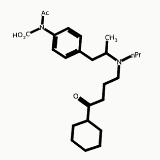 CCCN(CCCC(=O)C1CCCCC1)C(C)Cc1ccc(N(C(C)=O)C(=O)O)cc1